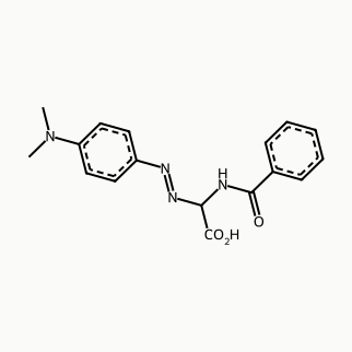 CN(C)c1ccc(N=NC(NC(=O)c2ccccc2)C(=O)O)cc1